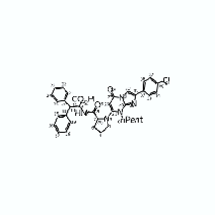 CCCCCn1c(N2CCC[C@H]2C(=O)N[C@H](C(=O)O)C(c2ccccc2)c2ccccc2)cc(=O)n2cc(-c3ccc(Cl)cc3)nc12